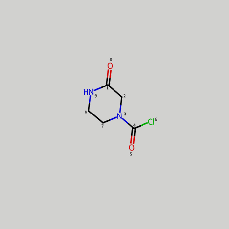 O=C1CN(C(=O)Cl)CCN1